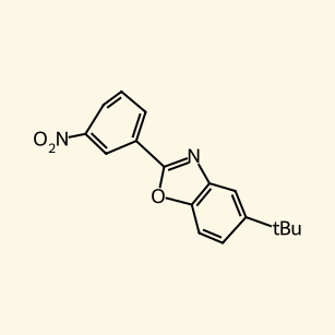 CC(C)(C)c1ccc2oc(-c3cccc([N+](=O)[O-])c3)nc2c1